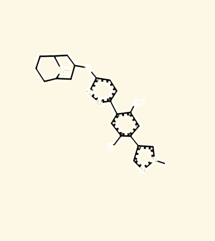 Cn1cc(-c2cc(O)c(-c3ccc(OC4CC5CCCC(C4)N5)nn3)cc2Cl)cn1